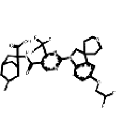 CC1CC2CC(C1)C(NC(=O)c1cnc(N3CC4(CCOCC4)c4cc(OCC(F)F)ccc43)nc1C(F)(F)F)(C(=O)O)C2